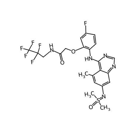 Cc1cc(N=S(C)(C)=O)cc2ncnc(Nc3ccc(F)cc3OCC(=O)NCC(F)(F)C(F)(F)F)c12